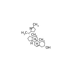 CC1=NC(C(C)[C@H]2CC[C@H]3[C@@H]4CC=C5C[C@@H](O)CC[C@]5(C)[C@H]4CC[C@]23C)CC1